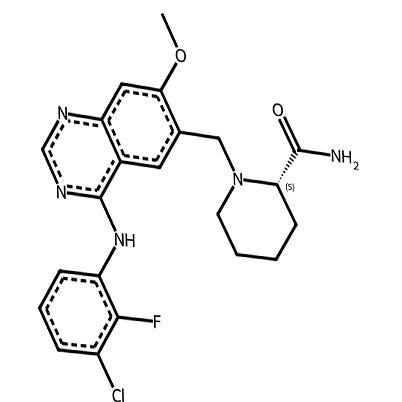 COc1cc2ncnc(Nc3cccc(Cl)c3F)c2cc1CN1CCCC[C@H]1C(N)=O